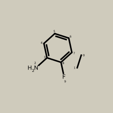 CC.Nc1ccccc1F